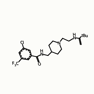 C=C(NCCN1CCC(CNC(=O)c2cc(Cl)cc(C(F)(F)F)c2)CC1)C(C)(C)C